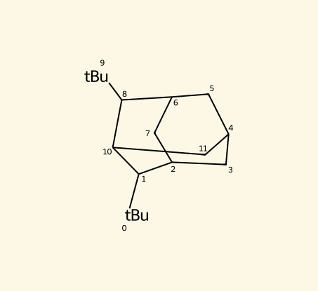 CC(C)(C)C1C2CC3CC(C2)C(C(C)(C)C)C1C3